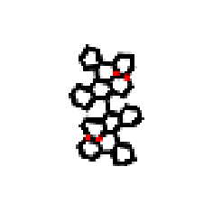 c1ccc(-c2ccccc2-c2c3ccccc3c(-c3c4ccccc4c(-c4ccccc4-c4ccccc4)c4ccccc34)c3ccccc23)cc1